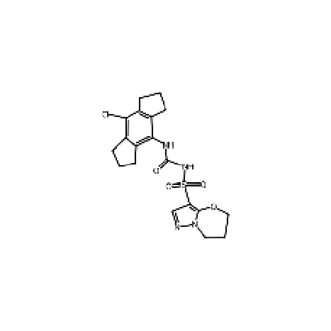 O=C(Nc1c2c(c(Cl)c3c1CCC3)CCC2)NS(=O)(=O)c1cnn2c1OCCC2